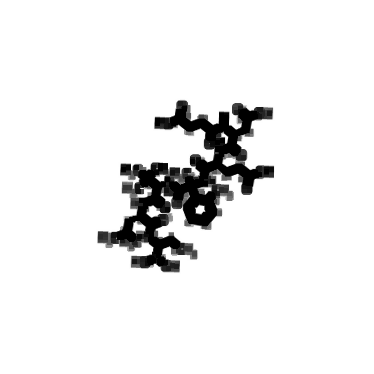 CCC(NC(=O)[C@H](CC(C)C)NC(=O)[C@@H](NC(=O)C(C)(NC(=O)[C@H](CCC(=O)O)NC(=O)[C@H](CC(=O)O)NC(=O)CCC(=O)O)c1ccccc1C)C(C)(C)C)B(O)O